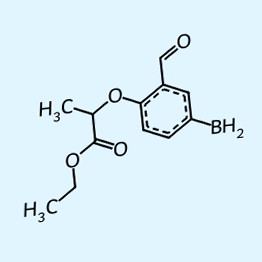 Bc1ccc(OC(C)C(=O)OCC)c(C=O)c1